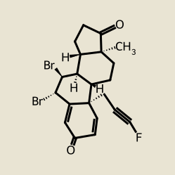 C[C@]12CC[C@H]3[C@@H]([C@H](Br)[C@@H](Br)C4=CC(=O)C=C[C@@]43CC#CF)[C@@H]1CCC2=O